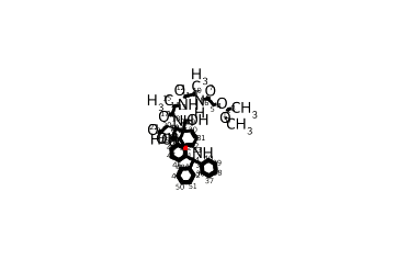 COC(C)OCC(=O)NC(C)C(=O)NC(C)C(=O)N[C@@](CC(=O)O)(C(=O)O)C1(CO)C=CC(NC(c2ccccc2)(c2ccccc2)c2ccccc2)=CC1